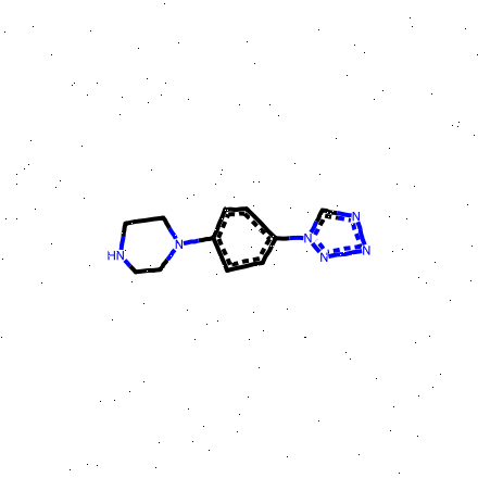 [c]1cc(-n2cnnn2)ccc1N1CCNCC1